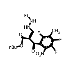 CCCCOC(=O)C(=CNNCC)C(=O)c1c(F)c(C)c(F)c(F)c1[N+](=O)[O-]